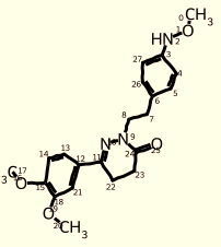 CONc1ccc(CCN2N=C(c3ccc(OC)c(OC)c3)CCC2=O)cc1